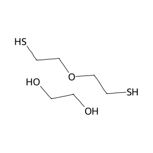 OCCO.SCCOCCS